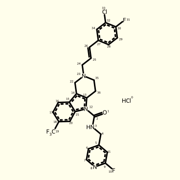 Cl.O=C(NCc1ccnc(F)c1)n1c2c(c3ccc(C(F)(F)F)cc31)CN(C/C=C/c1ccc(F)c(Cl)c1)CC2